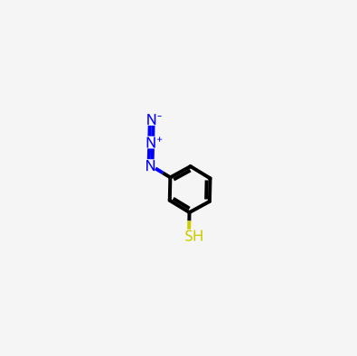 [N-]=[N+]=Nc1cccc(S)c1